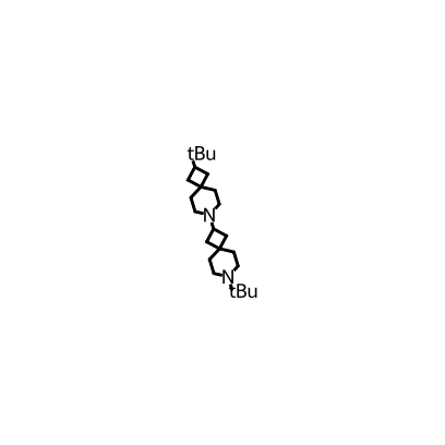 CC(C)(C)C1CC2(CCN(C3CC4(CCN(C(C)(C)C)CC4)C3)CC2)C1